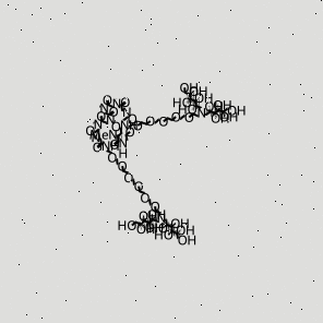 CN[C@@H](CC(=O)NCC(=O)N(C)CC(=O)N(C)CC(=O)N(C)CC(=O)N(C)CC(=O)N(C)CC(=O)N(C)CC(=O)NCCOCCOCCOCCOCCOCCOCCN(C[C@H](O)[C@@H](O)[C@H](O)[C@H](O)CO)C[C@H](O)[C@@H](O)[C@H](O)[C@H](O)CO)C(=O)NCCOCCOCCOCCOCCOCCOCCN(C[C@H](O)[C@@H](O)[C@H](O)[C@H](O)CO)C[C@H](O)[C@@H](O)[C@H](O)[C@H](O)CO